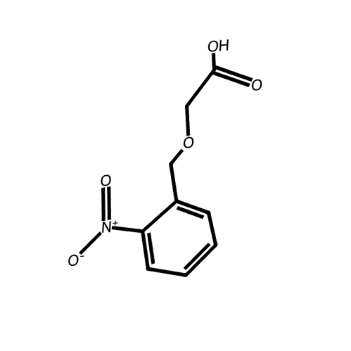 O=C(O)COCc1ccccc1[N+](=O)[O-]